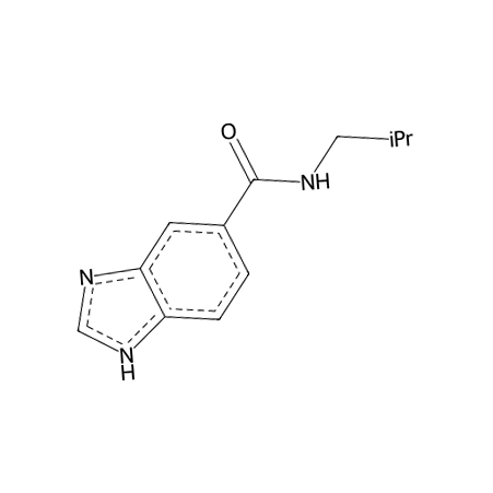 CC(C)CNC(=O)c1ccc2[nH]cnc2c1